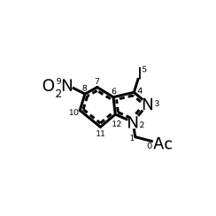 CC(=O)Cn1nc(I)c2cc([N+](=O)[O-])ccc21